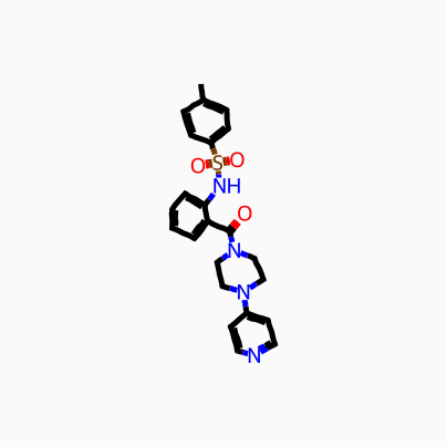 Cc1ccc(S(=O)(=O)Nc2ccccc2C(=O)N2CCN(c3ccncc3)CC2)cc1